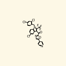 O=C(c1ncc(-c2ccncc2)o1)c1c(C(F)(F)F)n(Cc2ccc(Cl)cc2Cl)c2ccc(Cl)cc12